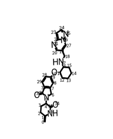 C=C1CCC(N2Cc3cc(O[C@H]4CCCC[C@@H]4NCc4cnc5ccnn5c4)ccc3C2=O)C(=O)N1